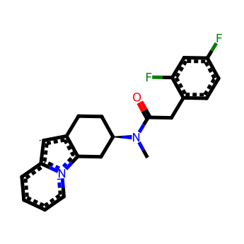 CN(C(=O)Cc1ccc(F)cc1F)[C@@H]1CCc2[c]c3ccccn3c2C1